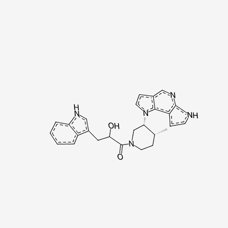 C[C@@H]1CCN(C(=O)C(O)Cc2c[nH]c3ccccc23)C[C@@H]1n1ccc2cnc3[nH]ccc3c21